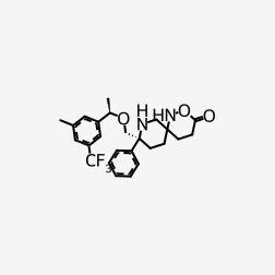 Cc1cc([C@@H](C)OC[C@@]2(c3ccccc3)CCC3(CCC(=O)ON3)CN2)cc(C(F)(F)F)c1